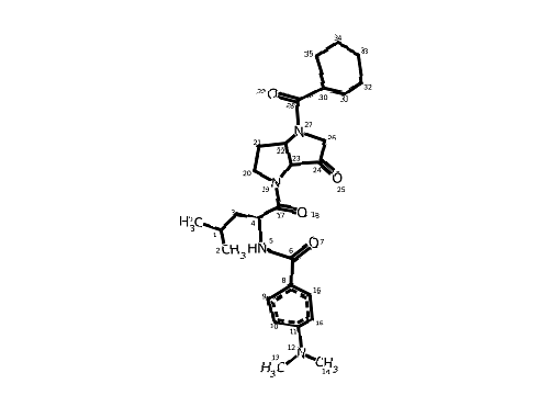 CC(C)C[C@H](NC(=O)c1ccc(N(C)C)cc1)C(=O)N1CCC2C1C(=O)CN2C(=O)C1CCCCC1